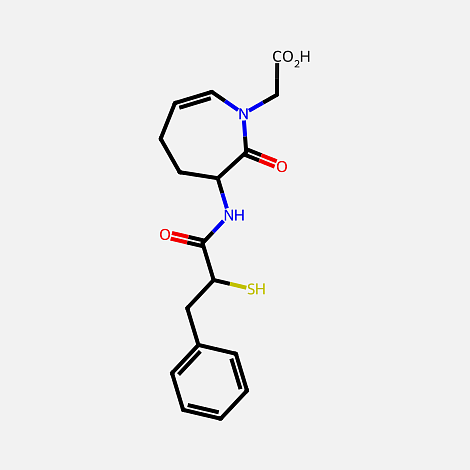 O=C(O)CN1C=CCCC(NC(=O)C(S)Cc2ccccc2)C1=O